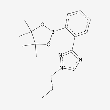 CCCn1cnc(-c2ccccc2B2OC(C)(C)C(C)(C)O2)n1